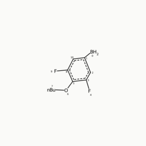 Bc1cc(F)c(OCCCC)c(F)c1